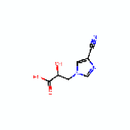 N#Cc1cn(C[C@H](O)C(=O)O)cn1